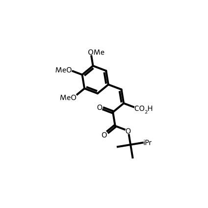 COc1cc(C=C(C(=O)O)C(=O)C(=O)OC(C)(C)C(C)C)cc(OC)c1OC